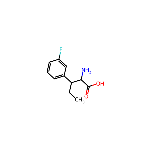 CCC(c1cccc(F)c1)C(N)C(=O)O